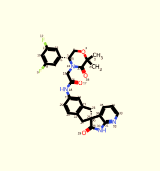 CC1(C)OC[C@@H](c2cc(F)cc(F)c2)N(CC(=O)Nc2ccc3c(c2)C[C@@]2(C3)C(=O)Nc3ncccc32)C1=O